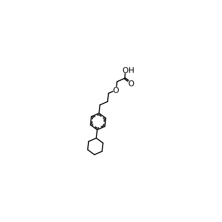 O=C(O)COCCCc1ccc(C2CCCCC2)cc1